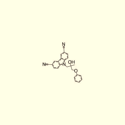 CC(O)(COc1ccccc1)Cn1c2ccc(C#N)cc2c2cc(C#N)ccc21